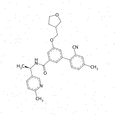 Cc1ccc(-c2cc(OCC3CCOC3)cc(C(=O)N[C@H](C)c3ccc(C)nc3)c2)c(C#N)c1